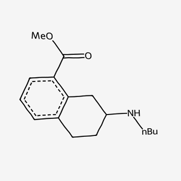 CCCCNC1CCc2cccc(C(=O)OC)c2C1